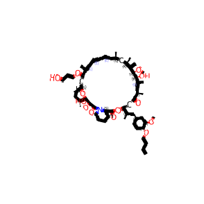 C=C1[C@H](C)C[C@H](C)/C=C/C=C/C=C(\C)C(OCCCO)C[C@@H]2CC[C@@H](C)[C@@](O)(O2)C(=O)C(=O)N2CCCC[C@H]2C(=O)O[C@H]([C@H](C)C[C@@H]2CC[C@@H](OCCCC)[C@H](OC)C2)CC(=O)[C@H](C)/C=C(\C)[C@@H](O)[C@H]1OC